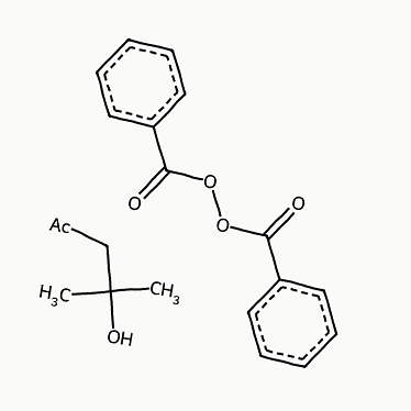 CC(=O)CC(C)(C)O.O=C(OOC(=O)c1ccccc1)c1ccccc1